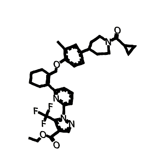 CCOC(=O)c1cnn(-c2cccc(C3=C(COc4ccc(C5CCN(C(=O)C6CC6)CC5)cc4C)CCCC3)n2)c1C(F)(F)F